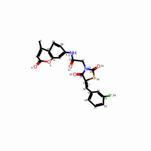 Cc1cc(=O)oc2cc(NC(=O)CN3C(=O)S/C(=C\c4cccc(F)c4)C3=O)ccc12